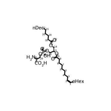 CCCCCC/C=C\CCCCCCCC(=O)O[C@H](COC(=O)CCCCCCCCCCCCCC)COP(=O)(O)OC[C@H](N)C(=O)O